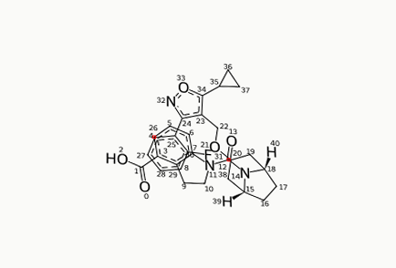 O=C(O)c1cccc2c1CCN2C(=O)N1[C@@H]2CC[C@H]1CC(OCc1c(-c3ccccc3F)noc1C1CC1)C2